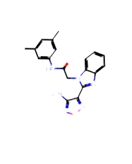 Cc1cc(C)cc(NC(=O)Cn2c(-c3nonc3N)nc3ccccc32)c1